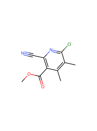 COC(=O)c1c(C#N)nc(Cl)c(C)c1C